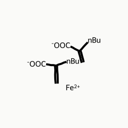 C=C(CCCC)C(=O)[O-].C=C(CCCC)C(=O)[O-].[Fe+2]